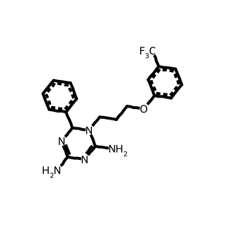 NC1=NC(c2ccccc2)N(CCCOc2cccc(C(F)(F)F)c2)C(N)=N1